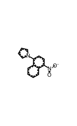 O=[N+]([O-])c1ccc(-n2cccc2)c2ccccc12